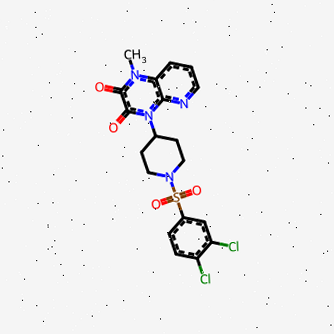 Cn1c(=O)c(=O)n(C2CCN(S(=O)(=O)c3ccc(Cl)c(Cl)c3)CC2)c2ncccc21